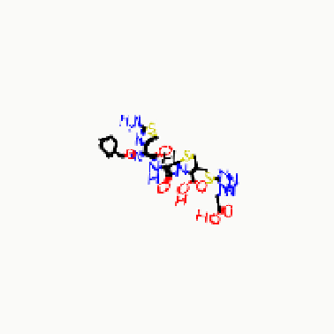 Nc1nc(C(=NOCc2ccccc2)C(=O)NC2C(=O)N3C(C(=O)O)=C(CSc4nnnn4CC(=O)O)CS[C@@H]23)cs1